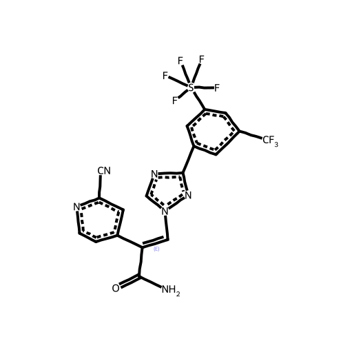 N#Cc1cc(/C(=C\n2cnc(-c3cc(C(F)(F)F)cc(S(F)(F)(F)(F)F)c3)n2)C(N)=O)ccn1